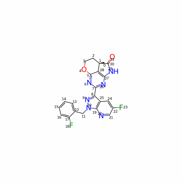 C[C@]12CCOc3nc(-c4nn(Cc5ccccc5F)c5ncc(F)cc45)nc(c31)NC2=O